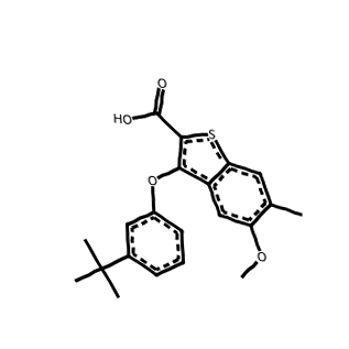 COc1cc2c(Oc3cccc(C(C)(C)C)c3)c(C(=O)O)sc2cc1C